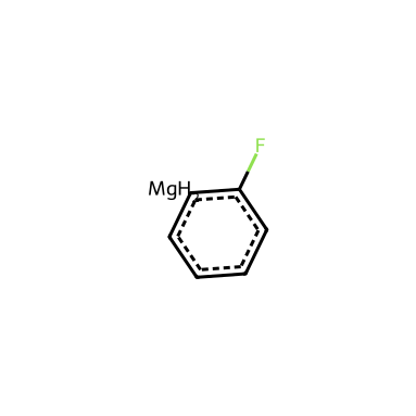 Fc1ccccc1.[MgH2]